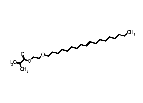 C=C(C)C(=O)OCCOCCCCCCCCC=CCCCCCCCC